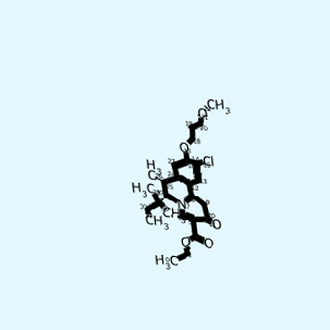 CCOC(=O)C1=CN2C(CC1=O)c1cc(Cl)c(OCCCOC)cc1[C@@H](C)[C@H]2C(C)(C)CC